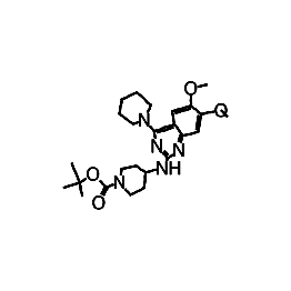 COc1cc2nc(NC3CCN(C(=O)OC(C)(C)C)CC3)nc(N3CCCCC3)c2cc1OC